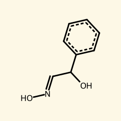 ON=CC(O)c1ccccc1